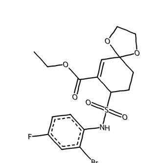 CCOC(=O)C1=CC2(CCC1S(=O)(=O)Nc1ccc(F)cc1Br)OCCO2